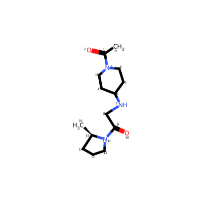 CC(=O)N1CCC(NCC(=O)N2CCC[C@H]2C)CC1